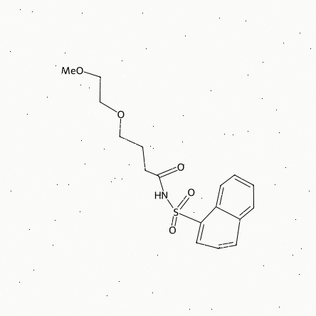 COCCOCCCC(=O)NS(=O)(=O)c1cccc2ccccc12